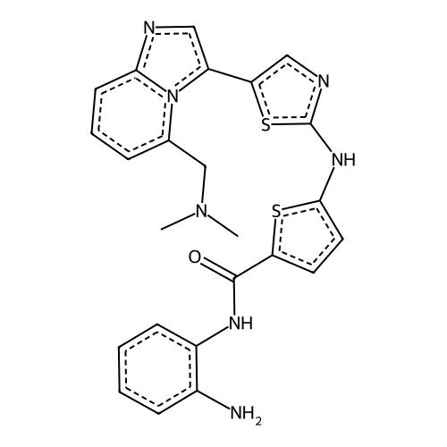 CN(C)Cc1cccc2ncc(-c3cnc(Nc4ccc(C(=O)Nc5ccccc5N)s4)s3)n12